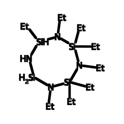 CCN1[SiH2]N[SiH](CC)N(CC)[Si](CC)(CC)N(CC)[Si]1(CC)CC